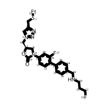 CCSCc1cn(C[C@H]2CN(c3ccc(-c4ccc(CNCCCF)cc4)c(F)c3)C(=O)O2)nn1